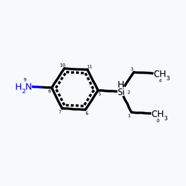 CC[SiH](CC)c1ccc(N)cc1